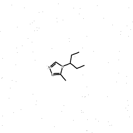 CCC(CC)n1cnnc1C